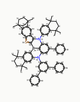 CC1(C)CCC(C)(C)c2cc(N3c4cc(-c5ccccc5)cc5c4B(c4cc6c(cc4N5c4cc(-c5ccccc5)cc(-c5ccccc5)c4)C(C)(C)CCC6(C)C)c4sc5cc6c(cc5c43)C3(C)CCC6(C)CC3)ccc21